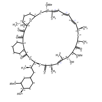 COC1CC(C[C@@H](C)[C@@H]2CC(=O)[C@H](C)/C=C(\C)[C@@H](O)C(OC)C(=O)C(C)C[C@H](C)/C=C/C=C/C=C(\C)[C@@H](OC)CC3CC[C@@H](C)[C@@](O)(O3)C(=O)C(=O)N3CCCCC3C(=O)O2)CC[C@H]1O